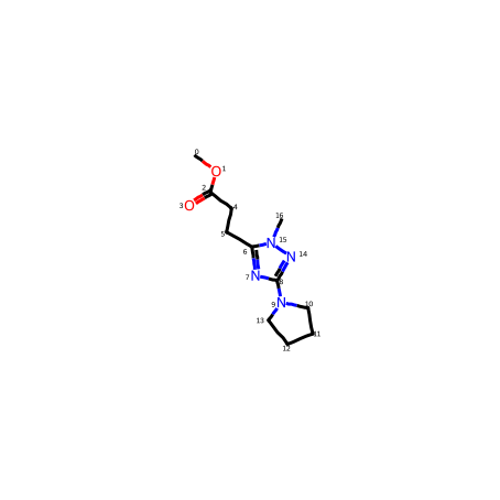 COC(=O)CCc1nc(N2CCCC2)nn1C